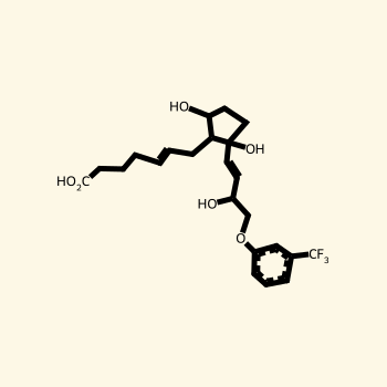 O=C(O)CCC/C=C/CC1C(O)CCC1(O)/C=C/C(O)COc1cccc(C(F)(F)F)c1